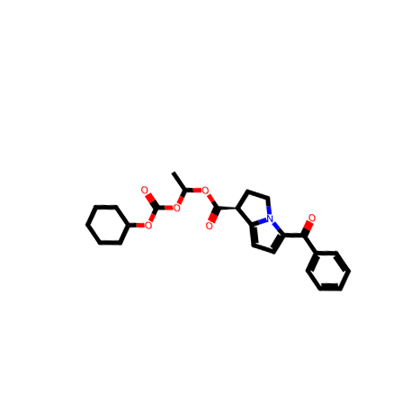 CC(OC(=O)OC1CCCCC1)OC(=O)[C@H]1CCn2c(C(=O)c3ccccc3)ccc21